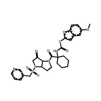 COc1ccc2oc(OC(=O)NC3(C(=O)N4CCC5C4C(=O)CN5S(=O)(=O)Cc4cccnc4)CCCCC3)cc2c1